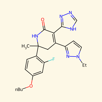 CCCCOc1ccc(C2(C)CC(c3ccn(CC)n3)=C(c3nnc[nH]3)C(=O)N2)c(F)c1